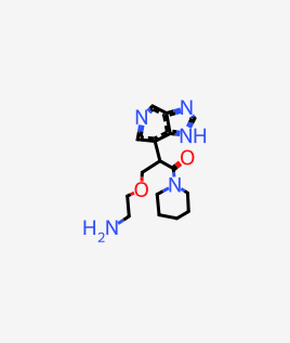 NCCOCC(C(=O)N1CCCCC1)c1cncc2nc[nH]c12